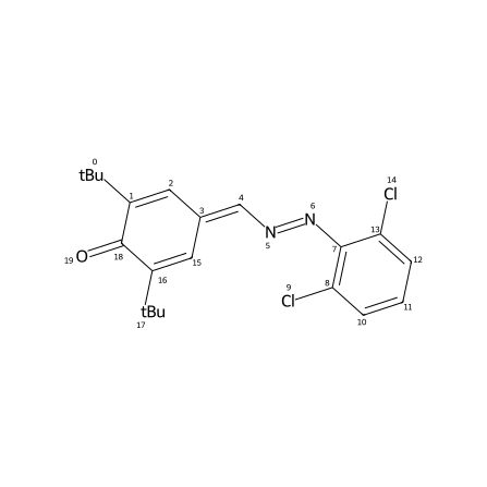 CC(C)(C)C1=CC(=CN=Nc2c(Cl)cccc2Cl)C=C(C(C)(C)C)C1=O